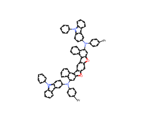 CC(C)c1ccc(N(c2ccc3c(c2)c2ccccc2n3-c2ccccc2)c2cc3oc4cc5oc6cc(N(c7ccc(C(C)C)cc7)c7ccc8c(c7)c7ccccc7n8-c7ccccc7)c7ccccc7c6c5cc4c3c3ccccc23)cc1